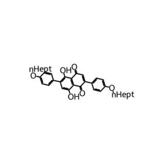 CCCCCCCOc1ccc(C2=CC(=O)c3c(O)c(-c4ccc(OCCCCCCC)cc4)cc(O)c3C2=O)cc1